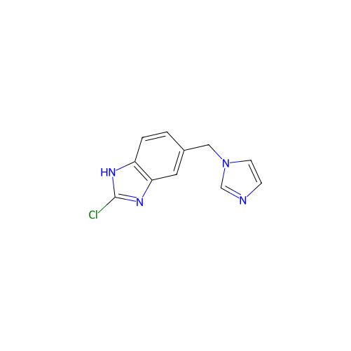 Clc1nc2cc(Cn3ccnc3)ccc2[nH]1